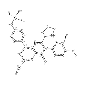 COc1ccc(-n2c(C3CCCN3)nc3c(-c4ccc(OC(F)(F)F)cc4)cc(C#N)cc3c2=O)cc1F